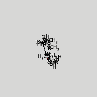 Cc1ncsc1-c1ccc(C(C)NC(=O)[C@@H]2C[C@@H](O)CN2C(=O)C(NC(=O)CCCCCCCn2nc(C)c(-c3ccc(N4CCc5cccc(C(=O)Nc6nc7ccccc7s6)c5C4)nc3C(=O)O)c2C)C(C)(C)C)cc1